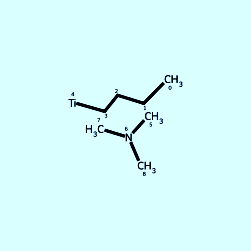 CCC[CH2][Ti].CN(C)C